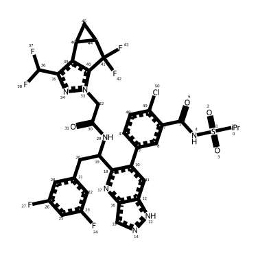 CC(C)S(=O)(=O)NC(=O)c1cc(-c2cc3[nH]ncc3nc2C(Cc2cc(F)cc(F)c2)NC(=O)Cn2nc(C(F)F)c3c2C(F)(F)C2CC32)ccc1Cl